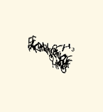 CC1(C)CN(C2CCc3c2n[nH]c(=O)c3C(F)(F)F)C[C@@H](C(=O)N2CCN(c3ncc(C(F)(F)F)cn3)CC2)O1